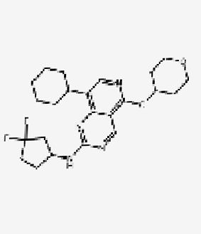 FC1(F)CC[C@H](Nc2ncc3c(OC4CCOCC4)ncc(C4CCCCC4)c3n2)C1